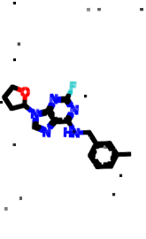 Cc1cccc(CNc2nc(F)nc3c2ncn3C2CCCO2)c1